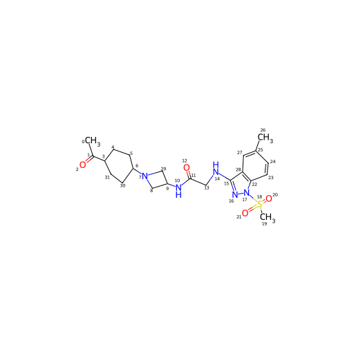 CC(=O)C1CCC(N2CC(NC(=O)CNc3nn(S(C)(=O)=O)c4ccc(C)cc34)C2)CC1